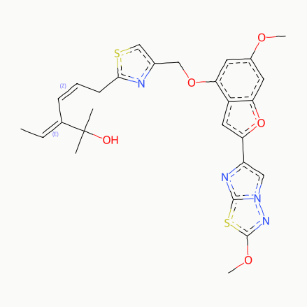 C/C=C(\C=C/Cc1nc(COc2cc(OC)cc3oc(-c4cn5nc(OC)sc5n4)cc23)cs1)C(C)(C)O